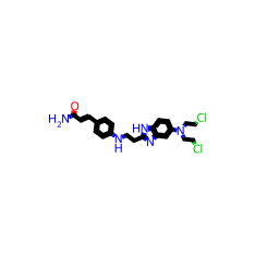 NC(=O)/C=C/c1ccc(NCCc2nc3cc(N(CCCl)CCCl)ccc3[nH]2)cc1